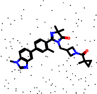 Cc1cc(-c2ccc3c(c2)ncn3C)ccc1C1=NC(C)(C)C(=O)N1CC1CN(C(=O)C2(C)CC2)C1